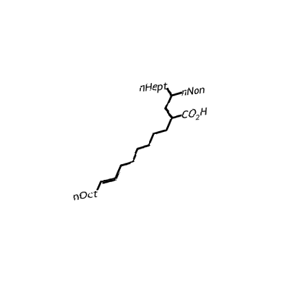 CCCCCCCCC=CCCCCCCC(CC(CCCCCCC)CCCCCCCCC)C(=O)O